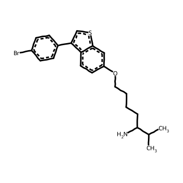 CC(C)C(N)CCCCOc1ccc2c(-c3ccc(Br)cc3)csc2c1